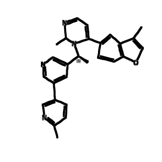 Cc1ccc(-c2cncc([C@H](C)N3C(c4ccc5occ(C)c5c4)=CC=NC3C)c2)cn1